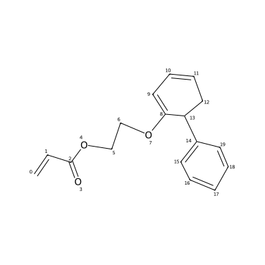 C=CC(=O)OCCOC1=CC=CCC1c1ccccc1